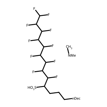 CCCCCCCCCCCCCC(C(F)C(F)C(F)C(F)C(F)C(F)C(F)C(F)C(F)F)S(=O)(=O)O.CNC